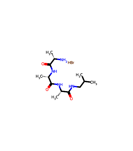 Br.CC(C)CNC(=O)[C@H](C)NC(=O)[C@H](C)NC(=O)[C@H](C)N